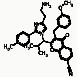 COc1cccc(Cc2c(C(C(C)C)n3cc(CCN)nc3-c3ccc(C)cc3)oc3cc(C#N)ccc3c2=O)c1